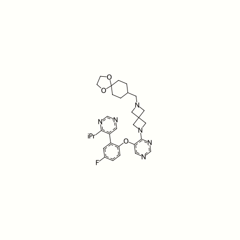 CC(C)c1ncncc1-c1cc(F)ccc1Oc1cncnc1N1CC2(CN(CC3CCC4(CC3)OCCO4)C2)C1